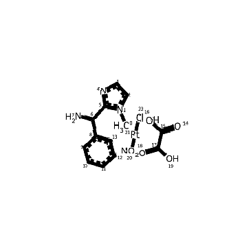 Cn1ccnc1C(N)c1ccccc1.O=C(O)C(=O)O.O=[N+]([O-])[Pt][Cl]